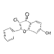 O=c1c(Cl)c(-c2ccccc2)oc2cc(O)ccc12